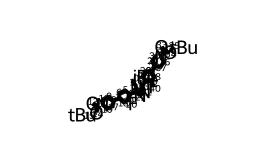 CC(C)Cn1c(-c2ccc(C3=CCN(C(=O)OC(C)(C)C)CC3)cc2F)nnc1-c1ccc(C2=CCN(C(=O)OC(C)(C)C)CC2)cc1F